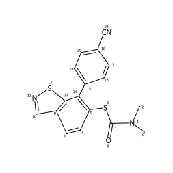 CN(C)C(=O)Sc1ccc2cnsc2c1-c1ccc(C#N)cc1